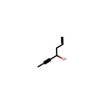 C=CCC(O)C#CC